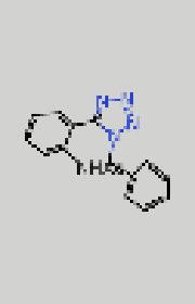 CC(=O)Nc1ccccc1-c1nnnn1Cc1ccccc1